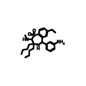 CCCCC1(CCCC)NC(c2cccc(N)c2)c2cc(CC)ccc2S(=O)(=O)C1NC